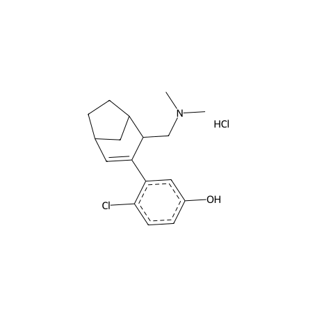 CN(C)CC1C(c2cc(O)ccc2Cl)=CC2CCC1C2.Cl